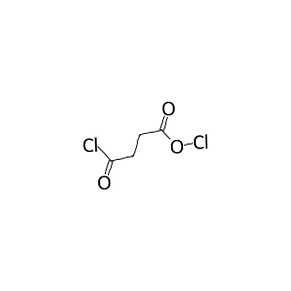 O=C(Cl)CCC(=O)OCl